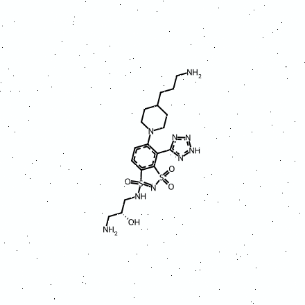 NCCCC1CCN(c2ccc3c(c2-c2nn[nH]n2)S(=O)(=O)N=S3(=O)NC[C@H](O)CN)CC1